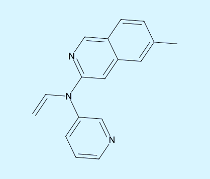 C=CN(c1cccnc1)c1cc2cc(C)ccc2cn1